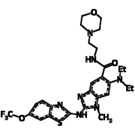 CCN(CC)c1cc2c(cc1C(=O)NCCN1CCOCC1)nc(Nc1nc3ccc(OC(F)(F)F)cc3s1)n2C